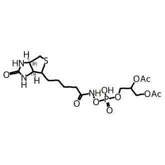 CC(=O)OCC(COP(=O)(O)ONC(=O)CCCCC1SC[C@@H]2NC(=O)N[C@H]12)OC(C)=O